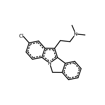 CN(C)CCc1c2n(c3ccc(Cl)cc13)Cc1ccccc1-2